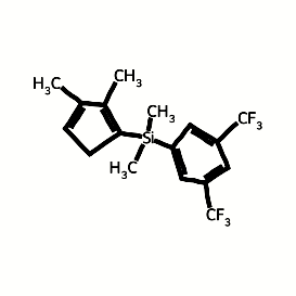 CC1=CCC([Si](C)(C)c2cc(C(F)(F)F)cc(C(F)(F)F)c2)=C1C